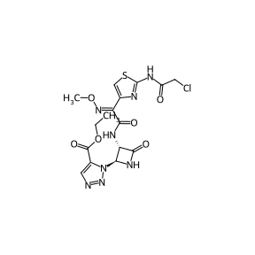 CCOC(=O)c1cnnn1[C@@H]1NC(=O)[C@H]1NC(=O)C(=NOC)c1csc(NC(=O)CCl)n1